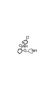 O=C(Nc1ccc(Cl)cn1)c1ccccc1OCC1CCNCC1